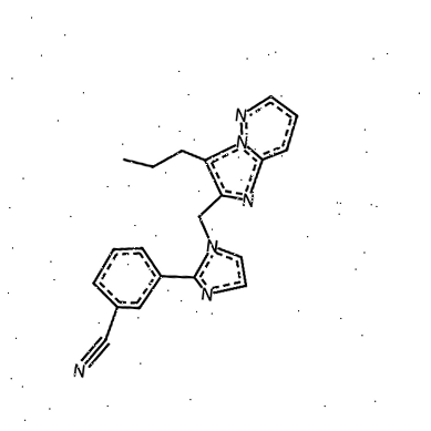 CCCc1c(Cn2ccnc2-c2cccc(C#N)c2)nc2cccnn12